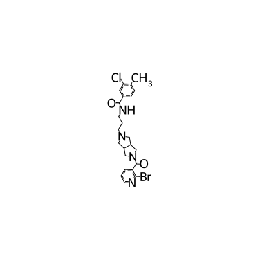 Cc1ccc(C(=O)NCCCN2CC3CN(C(=O)c4cccnc4Br)CC3C2)cc1Cl